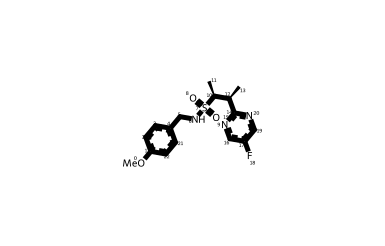 COc1ccc(CNS(=O)(=O)[C@@H](C)[C@@H](C)c2ncc(F)cn2)cc1